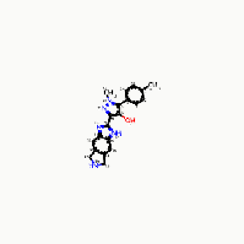 Cc1ccc(-c2c(O)c(-c3nc4cc5c(cc4[nH]3)CNC5)nn2C)cc1